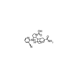 N#Cc1cccnc1NC1CCN(C(=O)O)[C@H]1C1C2CC3C[C@H]1C[C@@](C(N)=O)(C3)C2